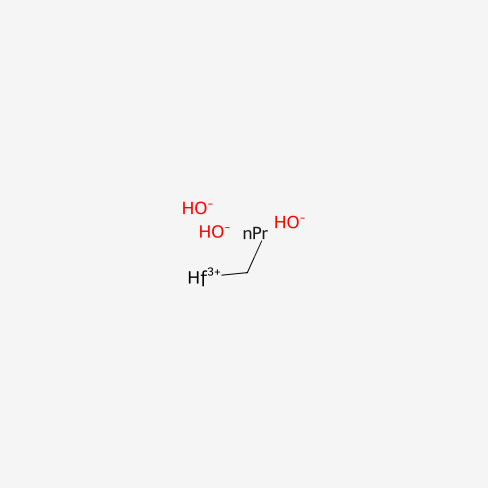 CCC[CH2][Hf+3].[OH-].[OH-].[OH-]